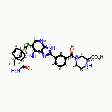 NC(=O)[C@H]1[C@H](Nc2c(Cl)cnc3[nH]c(-c4cccc(C(=O)N5CCNC(C(=O)O)C5)c4)nc23)[C@@H]2C=C[C@@H]1C2